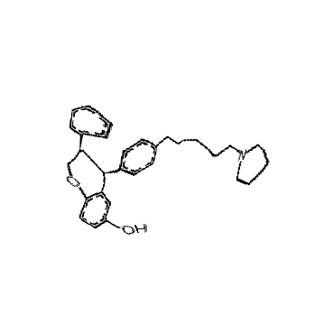 Oc1ccc2c(c1)[C@H](c1ccc(CCCCCN3CCCC3)cc1)[C@H](c1ccccc1)CO2